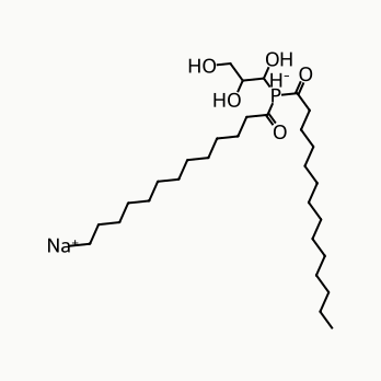 CCCCCCCCCCCCCC(=O)[PH-](C(=O)CCCCCCCCCCCCC)C(O)C(O)CO.[Na+]